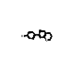 Oc1ccc(-c2ccc3c(c2)OCCC3)cc1